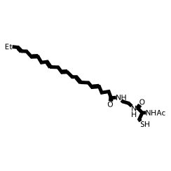 CCC=CCC=CCC=CCC=CCC=CCC=CCCC(=O)NCCNC(=O)C(CS)NC(C)=O